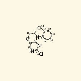 Clc1ncc2c(n1)N(c1ccccc1Cl)CCO2